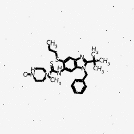 CCCSc1cc2nc(C(C)(C)C)n(Cc3ccccc3)c2cc1NC(=S)[N+]1(C)CC[NH+]([O-])CC1